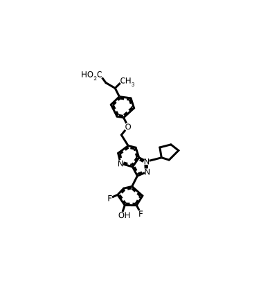 CC(CC(=O)O)c1ccc(OCc2cnc3c(-c4cc(F)c(O)c(F)c4)nn(C4CCCC4)c3c2)cc1